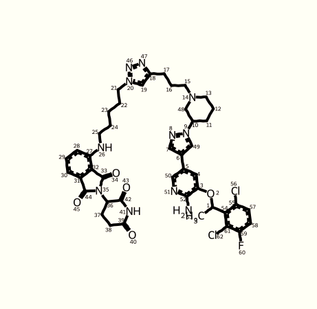 CC(Oc1cc(-c2cnn(C3CCCN(CCCc4cn(CCCCCNc5cccc6c5C(=O)N(C5CCC(=O)NC5=O)C6=O)nn4)C3)c2)cnc1N)c1c(Cl)ccc(F)c1Cl